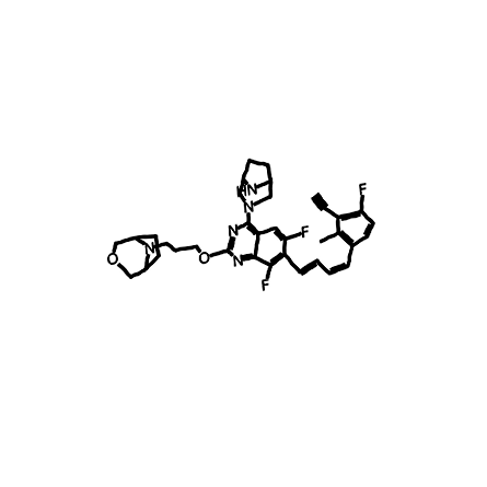 C#Cc1c(F)ccc(/C=C\C=C\c2c(F)cc3c(N4CC5CCC(C4)N5)nc(OCCCN4C5CCC4COC5)nc3c2F)c1C